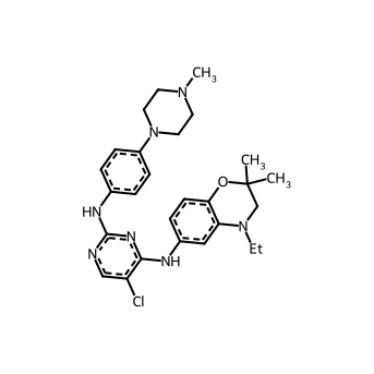 CCN1CC(C)(C)Oc2ccc(Nc3nc(Nc4ccc(N5CCN(C)CC5)cc4)ncc3Cl)cc21